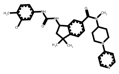 Cc1ccc(NC(=O)NC2CC(C)(C)c3ccc(C(=O)N(C)C4CCN(c5ccncc5)CC4)cc32)cc1Cl